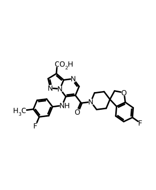 Cc1ccc(Nc2c(C(=O)N3CCC4(CC3)COc3cc(F)ccc34)cnc3c(C(=O)O)cnn23)cc1F